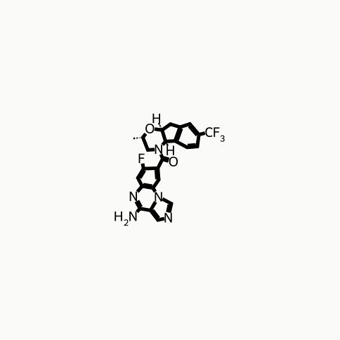 C[C@H]1CN(C(=O)c2cc3c(cc2F)nc(N)c2cncn23)[C@@H]2c3ccc(C(F)(F)F)cc3C[C@@H]2O1